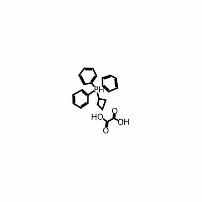 O=C(O)C(=O)O.c1ccc([PH](c2ccccc2)(c2ccccc2)C2CCC2)cc1